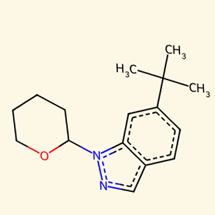 CC(C)(C)c1ccc2cnn(C3CCCCO3)c2c1